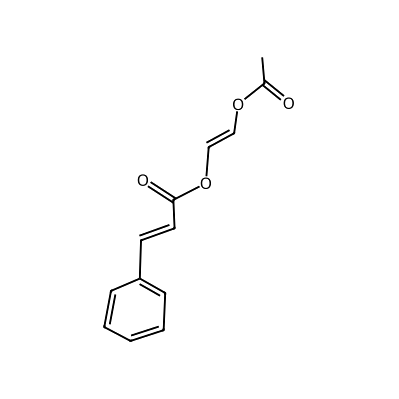 CC(=O)OC=COC(=O)/C=C/c1ccccc1